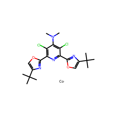 CN(C)c1c(Cl)c(-c2nc(C(C)(C)C)co2)nc(-c2nc(C(C)(C)C)co2)c1Cl.[Co]